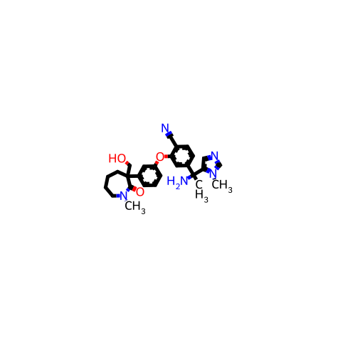 CN1CCCCC(CO)(c2cccc(Oc3cc(C(C)(N)c4cncn4C)ccc3C#N)c2)C1=O